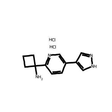 Cl.Cl.NC1(c2ccc(-c3cn[nH]c3)cn2)CCC1